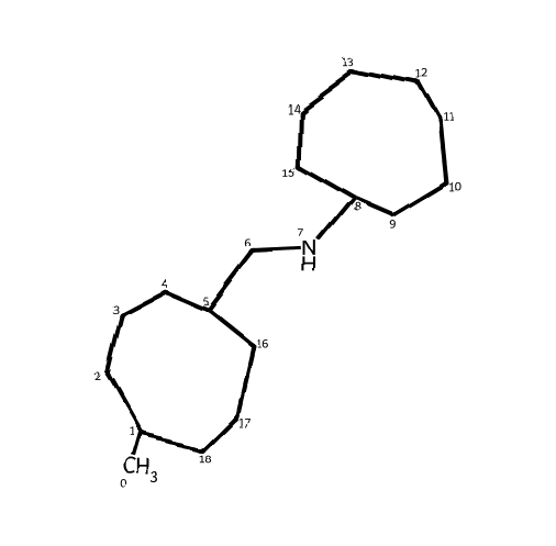 CC1CCCC(CNC2CCCCCCC2)CCC1